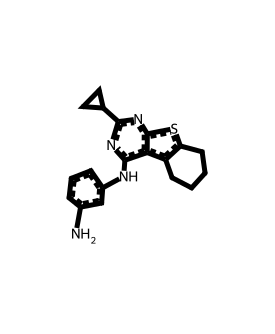 Nc1cccc(Nc2nc(C3CC3)nc3sc4c(c23)CCCC4)c1